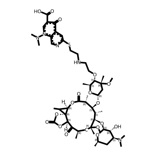 CO[C@]1(C)C[C@@H](C)C(=O)[C@H]2OC(=O)O[C@@]23C(C)[C@H]3OC(=O)[C@H](C)[C@@H](O[C@H]2C[C@@](C)(OC)[C@@H](OCCNCCSc3cc4c(=O)c(C(=O)O)cn(N(C)C)c4cn3)[C@H](C)O2)[C@H](C)[C@H]1O[C@@H]1O[C@H](C)C[C@H](N(C)C)[C@H]1O